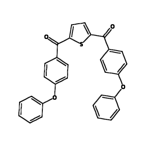 O=C(c1ccc(Oc2ccccc2)cc1)c1ccc(C(=O)c2ccc(Oc3ccccc3)cc2)s1